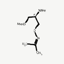 CN[C@H](COC)CON=C(C)C